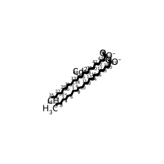 CCCCCCCCCCC/C=C/C=C/C=C/C=C/C=C/C(=O)[O-].CCCCCCCCCCC/C=C/C=C/C=C/C=C/C=C/C(=O)[O-].[Cd+2]